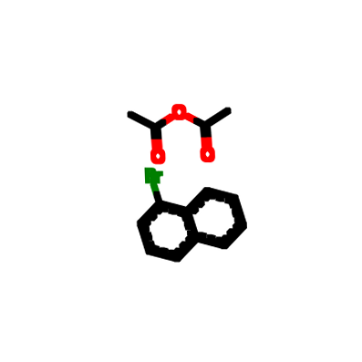 Brc1cccc2ccccc12.CC(=O)OC(C)=O